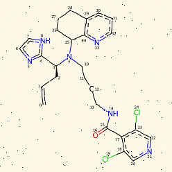 C=CC[C@@H](c1ncc[nH]1)N(CCCCNC(=O)c1c(Cl)cncc1Cl)C1CCCc2cccnc21